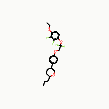 CCCC1CCC(c2ccc(OCC(F)(F)Oc3ccc(OCC)c(F)c3F)cc2)CO1